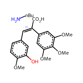 CCCCN.COc1ccc(/C=C(/C(=O)O)c2cc(OC)c(OC)c(OC)c2)cc1O